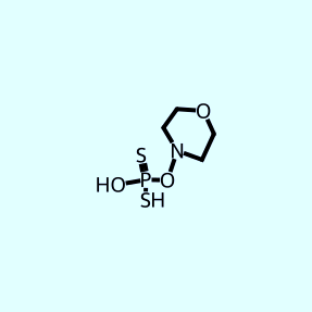 OP(=S)(S)ON1CCOCC1